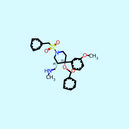 CNC[C@@H]1CN(S(=O)(=O)Cc2ccccc2)CC[C@@]1(OC(=O)c1ccccc1)c1cccc(OC)c1